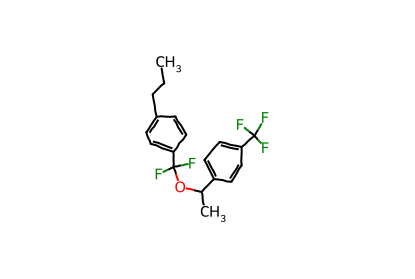 CCCc1ccc(C(F)(F)OC(C)c2ccc(C(F)(F)F)cc2)cc1